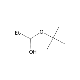 CCC(O)OC(C)(C)C